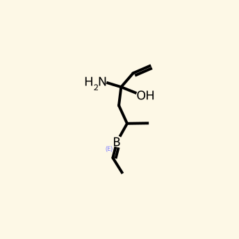 C=CC(N)(O)CC(C)/B=C/C